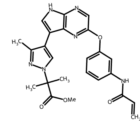 C=CC(=O)Nc1cccc(Oc2cnc3[nH]cc(-c4cn(C(C)(C)C(=O)OC)nc4C)c3n2)c1